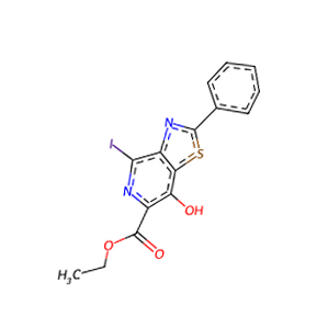 CCOC(=O)c1nc(I)c2nc(-c3ccccc3)sc2c1O